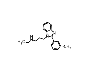 CCNCCCn1c(-c2cccc(C)c2)nc2ccccc21